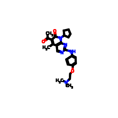 CC(=O)c1c(C)c2cnc(Nc3ccc(OCCN(C)C)cc3)nc2n(C2CCCC2)c1=O